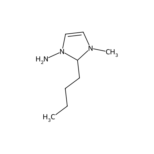 CCCCC1N(C)C=CN1N